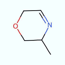 CC1COCC=N1